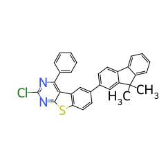 CC1(C)c2ccccc2-c2ccc(-c3ccc4sc5nc(Cl)nc(-c6ccccc6)c5c4c3)cc21